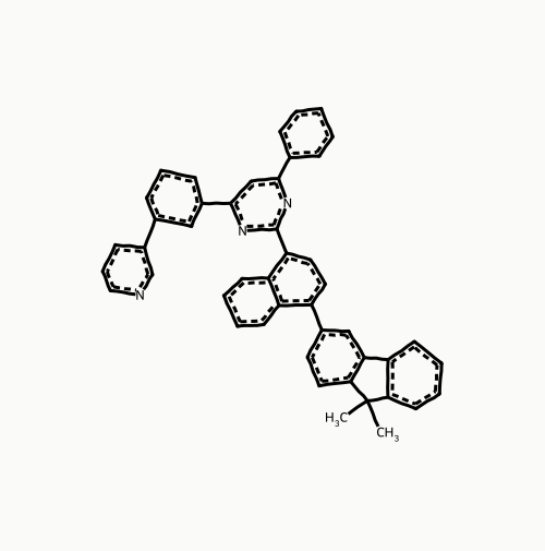 CC1(C)c2ccccc2-c2cc(-c3ccc(-c4nc(-c5ccccc5)cc(-c5cccc(-c6cccnc6)c5)n4)c4ccccc34)ccc21